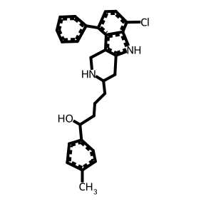 Cc1ccc(C(O)CCCC2Cc3[nH]c4c(Cl)ccc(-c5ccccc5)c4c3CN2)cc1